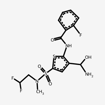 CN(CC(F)F)S(=O)(=O)c1cc(C(N)O)c(NC(=O)c2ccccc2F)s1